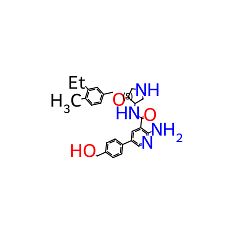 CCc1cc(CO[C@H]2CNCC2NC(=O)c2cc(-c3ccc(CO)cc3)cnc2N)ccc1C